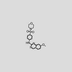 COc1ccc2cnc(Nc3ccc(S(=O)(=O)N4CCOCC4)cc3)nc2c1